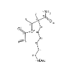 C=CC(=O)OC(C)C(C)(CCCCCCCCCCCCCCCC)C(N)=O